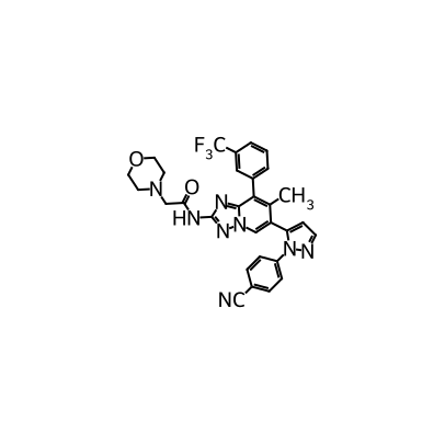 Cc1c(-c2ccnn2-c2ccc(C#N)cc2)cn2nc(NC(=O)CN3CCOCC3)nc2c1-c1cccc(C(F)(F)F)c1